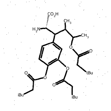 CCC(C)CC(=O)Oc1ccc(C(C(C)C(C)OC(=O)CC(C)(C)C)[C@H](N)C(=O)O)cc1OC(=O)CC(C)CC